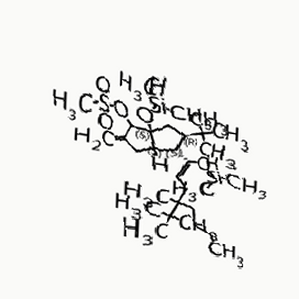 C=C1C[C@H]2[C@@H](C(=CCC(C)(CCCC)C(C)(C)C)O[SiH](C)C)[C@H](C(C)(C)C)C[C@@]2(O[SiH](C)C)C1OS(C)(=O)=O